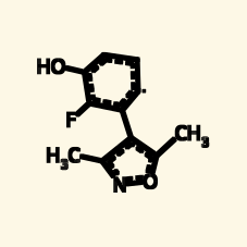 Cc1noc(C)c1-c1[c]ccc(O)c1F